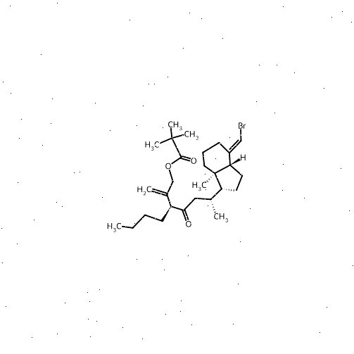 C=C(COC(=O)C(C)(C)C)[C@H](CCCC)C(=O)C[C@@H](C)[C@H]1CC[C@H]2/C(=C/Br)CCC[C@]12C